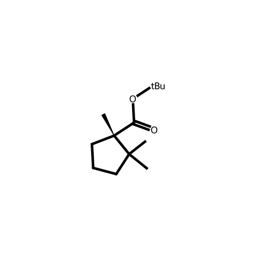 CC(C)(C)OC(=O)[C@@]1(C)CCCC1(C)C